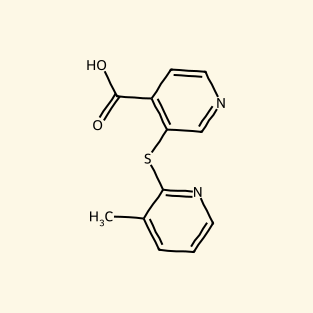 Cc1cccnc1Sc1cnccc1C(=O)O